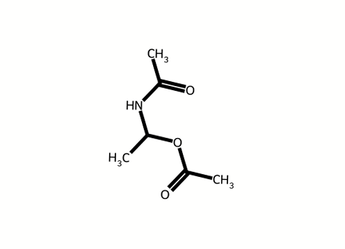 CC(=O)NC(C)OC(C)=O